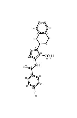 O=C(Nc1scc(C2CCc3ccccc3C2)c1C(=O)O)c1ccc(F)cc1